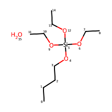 CCCCO[Si](OCC)(OCC)OCC.O